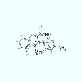 C=C([C@H](C)Nc1cc(N)nc(Cl)n1)N(C(=O)c1c(C)cccc1C)C1CC1